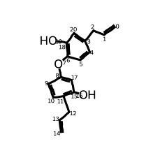 C=CCc1ccc(Oc2ccc(CC=C)c(O)c2)c(O)c1